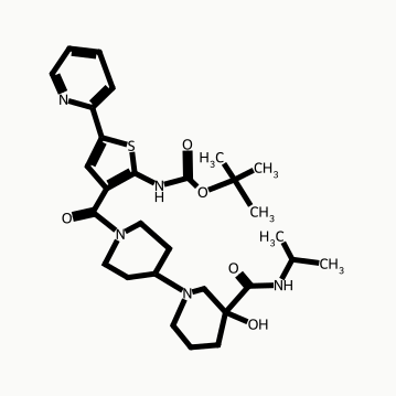 CC(C)NC(=O)C1(O)CCCN(C2CCN(C(=O)c3cc(-c4ccccn4)sc3NC(=O)OC(C)(C)C)CC2)C1